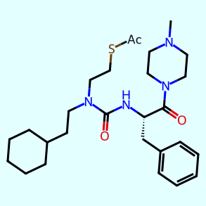 CC(=O)SCCN(CCC1CCCCC1)C(=O)N[C@@H](Cc1ccccc1)C(=O)N1CCN(C)CC1